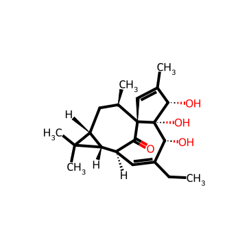 CCC1=C[C@@H]2C(=O)[C@]3(C=C(C)[C@H](O)[C@@]3(O)[C@@H]1O)[C@H](C)C[C@@H]1[C@H]2C1(C)C